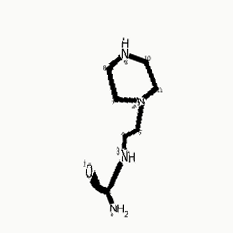 NC(=O)NCCN1CCNCC1